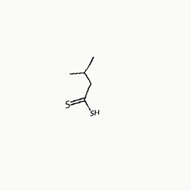 CC(C)CC(=S)S